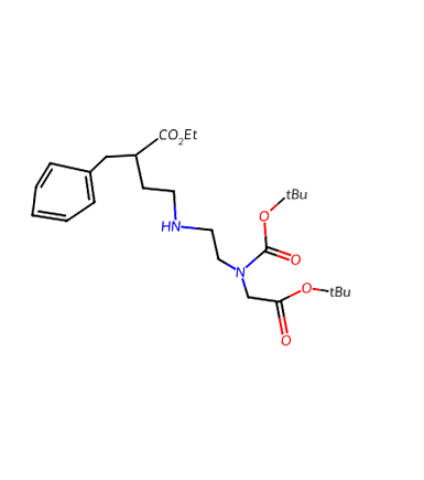 CCOC(=O)C(CCNCCN(CC(=O)OC(C)(C)C)C(=O)OC(C)(C)C)Cc1ccccc1